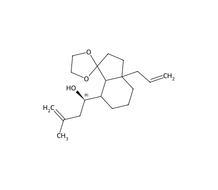 C=CCC12CCCC([C@H](O)CC(=C)C)C1C1(CC2)OCCO1